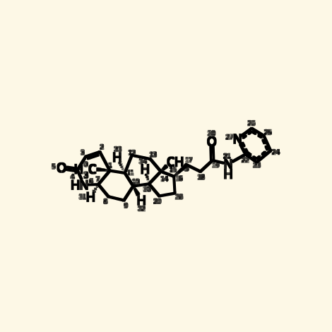 C[C@]12C=CC(=O)N[C@@H]1CC[C@@H]1[C@@H]2CC[C@]2(C)[C@@H](CCC(=O)Nc3ccccn3)CC[C@@H]12